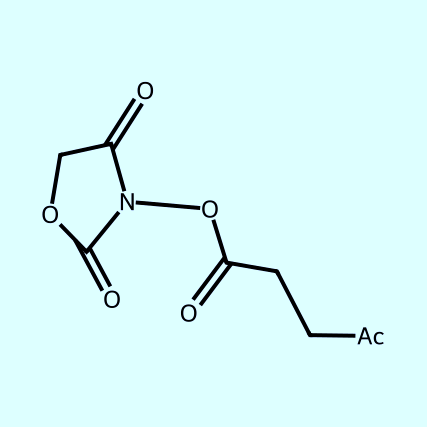 CC(=O)CCC(=O)ON1C(=O)COC1=O